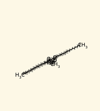 CCCCCCCCCCCCCCCCCCCCOC(=O)CC(C(=O)OCCCCCCCCCCCCCCCCCCCC)C(=S)N(C)S